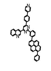 c1ccc(-c2ccc3ccc4c(-c5cccc(-c6nc(-c7ccc(-c8ccncc8)cc7)cc(-c7cnc8ccccc8c7)n6)c5)ccc5ccc2c3c54)cc1